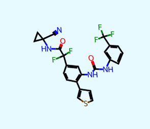 N#CC1(NC(=O)C(F)(F)c2ccc(-c3ccsc3)c(NC(=O)Nc3cccc(C(F)(F)F)c3)c2)CC1